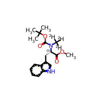 [2H]C([2H])([2H])N(C(=O)OC(C)(C)C)[C@@H](Cc1c[nH]c2ccccc12)C(=O)OC